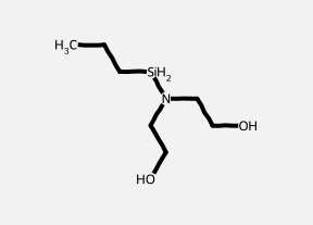 CCC[SiH2]N(CCO)CCO